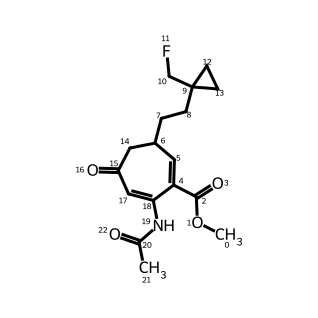 COC(=O)C1=CC(CCC2(CF)CC2)CC(=O)C=C1NC(C)=O